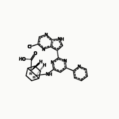 O=C(O)[C@H]1C2CCC(CC2)[C@@H]1Nc1cc(-c2ccccn2)nc(-c2c[nH]c3ncc(Cl)nc23)n1